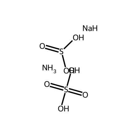 N.O=S(=O)(O)O.O=S(O)O.[NaH]